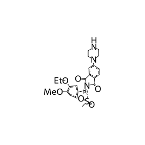 CCOc1cc([C@@H](CS(C)(=O)=O)N2C(=O)c3ccc(N4CCNCC4)cc3C2=O)ccc1OC